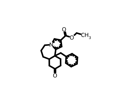 CCOC(=O)c1cc2n(c1)CCCC1CC(=O)CCC21Cc1ccccc1